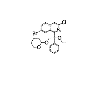 CCOC(COC1CCCCO1)(c1ccccc1)c1nc(Cl)cc2ccc(Br)cc12